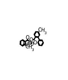 Cc1ccc(C(=O)OP(=O)(O)C(=O)c2ccccc2C)c(-c2ccccc2)c1